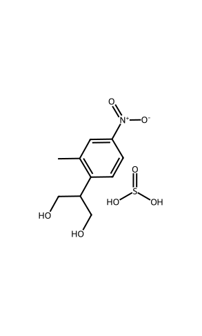 Cc1cc([N+](=O)[O-])ccc1C(CO)CO.O=S(O)O